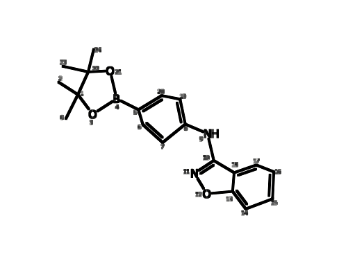 CC1(C)OB(c2ccc(Nc3noc4ccccc34)cc2)OC1(C)C